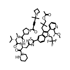 CO[C@@H](C)c1ncccc1-c1c(CC(C)(C)COC(C)=O)c2cc(-c3nc(C[C@H](NC(=O)[C@H](C(C)C)N(C)C(=O)C4CCN(C(=O)C#CC(C)(C)N5CCC5)C4)C(=O)N4CCCCN4)ns3)ccc2n1CC(F)(F)F